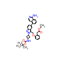 CCOC(=O)Cc1ccccc1OCc1c2cc(-c3cccc4c(N)nccc34)ccc2nn1C1CC(NC(=O)OC(C)(C)C)C1